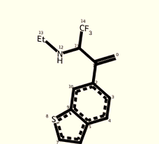 C=C(c1ccc2ccsc2c1)C(NCC)C(F)(F)F